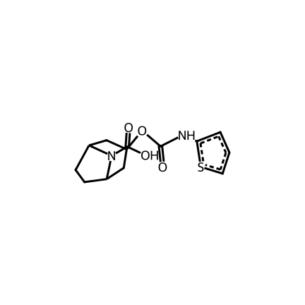 O=C(Nc1cccs1)OC1CC2CCC(C1)N2C(=O)O